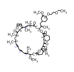 CCOCCO[C@@H]1CCC(C[C@@H](C)[C@@H]2CC(=O)[C@H](C)/C=C(\C)[C@@H](O)[C@@H](OC)C(=O)[C@H](C)C[C@H](C)/C=C/C=C/C=C(\C)[C@@H](OC)C[C@@H]3CC[C@@H](C)[C@@](O)(O3)C(=O)C(=O)N3CCCC[C@H]3C(=O)O2)C[C@H]1OC